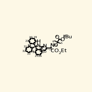 CCOC(=O)C(=NOC(C)(C)C(=O)OC(C)(C)C)c1csc(NC(c2ccccc2)(c2ccccc2)c2ccccc2)n1